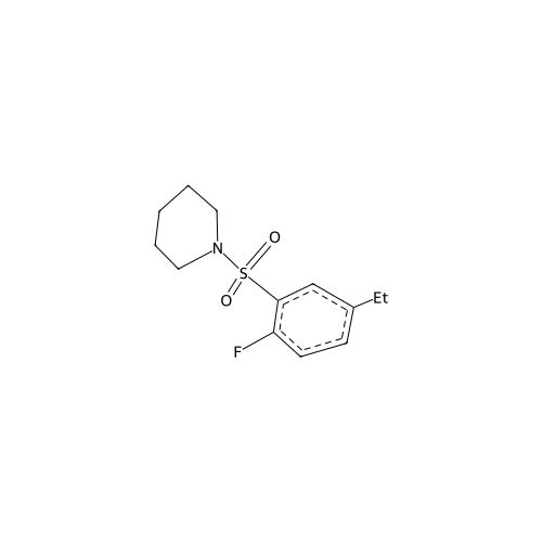 CCc1ccc(F)c(S(=O)(=O)N2CCCCC2)c1